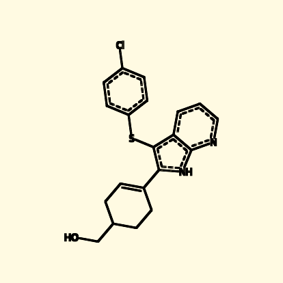 OCC1CC=C(c2[nH]c3ncccc3c2Sc2ccc(Cl)cc2)CC1